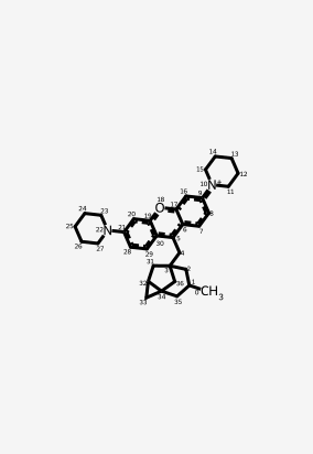 CC1CC2(Cc3c4ccc(=[N+]5CCCCC5)cc-4oc4cc(N5CCCCC5)ccc34)CC3CC3(C1)C2